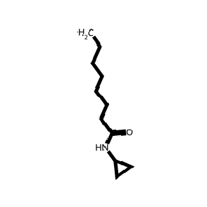 [CH2]CCCCCCC(=O)NC1CC1